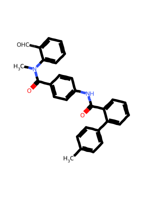 Cc1ccc(-c2ccccc2C(=O)Nc2ccc(C(=O)N(C)c3ccccc3C=O)cc2)cc1